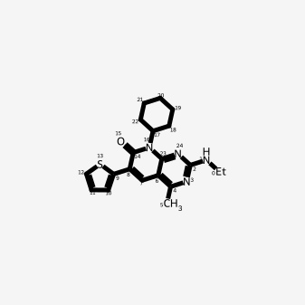 CCNc1nc(C)c2cc(-c3cccs3)c(=O)n(C3CCCCC3)c2n1